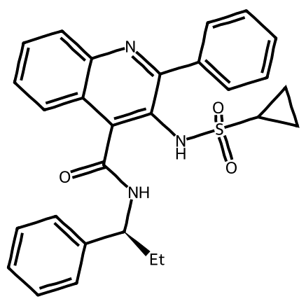 CC[C@H](NC(=O)c1c(NS(=O)(=O)C2CC2)c(-c2ccccc2)nc2ccccc12)c1ccccc1